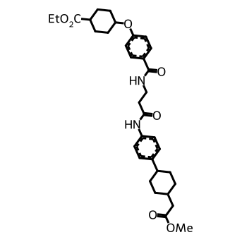 CCOC(=O)C1CCC(Oc2ccc(C(=O)NCCC(=O)Nc3ccc(C4CCC(CC(=O)OC)CC4)cc3)cc2)CC1